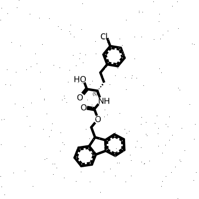 O=C(N[C@@H](CCc1cccc(Cl)c1)C(=O)O)OCC1c2ccccc2-c2ccccc21